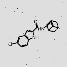 O=C(NC1=C2C3CC(C1)CC2C3)c1cc2cc(Cl)ccc2[nH]1